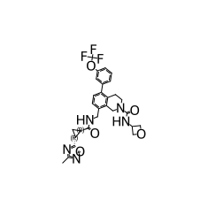 Cc1noc([C@@H]2C[C@H]2C(=O)NCc2ccc(-c3cccc(OC(F)(F)F)c3)c3c2CN(C(=O)NC2COC2)CC3)n1